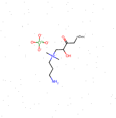 CCCCCCCCCCCC(=O)C(O)C[N+](C)(C)CCCN.[O-][Cl+3]([O-])([O-])[O-]